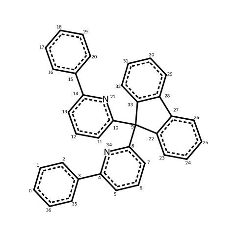 c1ccc(-c2cccc(C3(c4cccc(-c5ccccc5)n4)c4ccccc4-c4ccccc43)n2)cc1